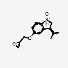 CC(C)=C1C[NH+]([O-])c2ccc(OCC3CO3)cc21